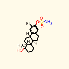 CCc1cc2c(cc1OS(N)(=O)=O)CC[C@@H]1[C@@H]2CC[C@]2(C)C(O)CCC[C@@H]12